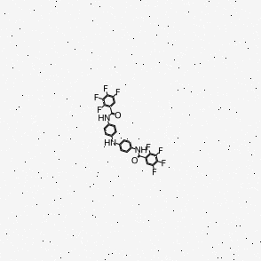 O=C(Nc1ccc(Nc2ccc(NC(=O)c3cc(F)c(F)c(F)c3F)cc2)cc1)c1cc(F)c(F)c(F)c1F